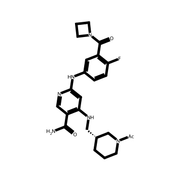 CC(=O)N1CCC[C@H](CNc2cc(Nc3ccc(F)c(C(=O)N4CCC4)c3)ncc2C(N)=O)C1